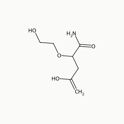 C=C(O)CC(OCCO)C(N)=O